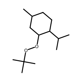 CC1CCC(C(C)C)C(OOC(C)(C)C)C1